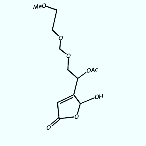 COCCOCOCC(OC(C)=O)C1=CC(=O)OC1O